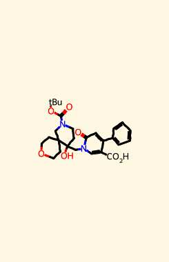 CC(C)(C)OC(=O)N1CCC(O)(Cn2cc(C(=O)O)c(-c3ccccc3)cc2=O)C2(CCOCC2)C1